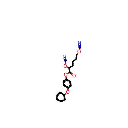 N#COCCCCC(OC#N)C(=O)Oc1ccc(Oc2ccccc2)cc1